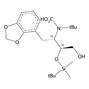 CC(C)(C)N(C(=O)O)[C@@H](Cc1cccc2c1OCO2)[C@@H](CO)O[Si](C)(C)C(C)(C)C